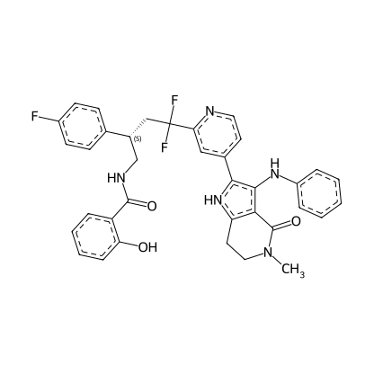 CN1CCc2[nH]c(-c3ccnc(C(F)(F)C[C@H](CNC(=O)c4ccccc4O)c4ccc(F)cc4)c3)c(Nc3ccccc3)c2C1=O